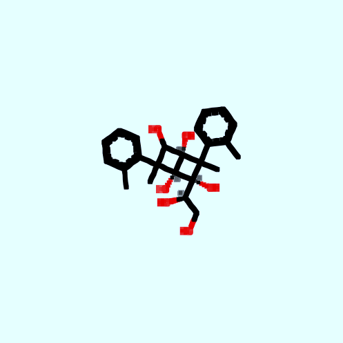 Cc1ccccc1C1(C)C(O)[C@@]2(O)C(C)(c3ccccc3C)[C@@](O)([C@H](O)CO)[C@@]12O